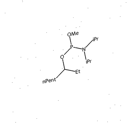 CCCCCC(CC)OP(OC)N(C(C)C)C(C)C